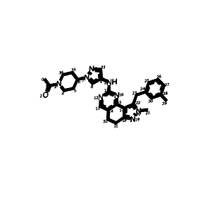 CC(=O)N1CCC(n2cc(Nc3ncc4c(n3)-c3c(nn(C)c3Cc3cccc(C)c3)CC4)cn2)CC1